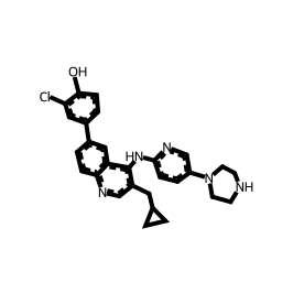 Oc1ccc(-c2ccc3ncc(CC4CC4)c(Nc4ccc(N5CCNCC5)cn4)c3c2)cc1Cl